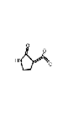 O=C1NCCC1=S(=O)=O